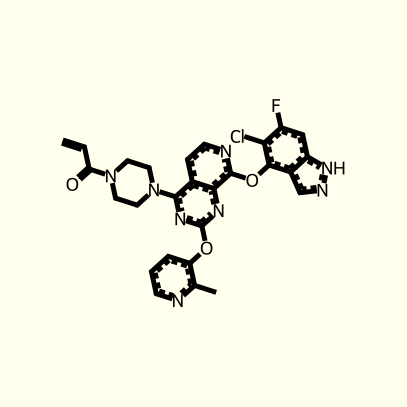 C=CC(=O)N1CCN(c2nc(Oc3cccnc3C)nc3c(Oc4c(Cl)c(F)cc5[nH]ncc45)nccc23)CC1